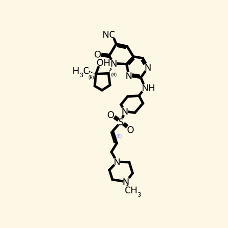 CN1CCN(C/C=C/S(=O)(=O)N2CCC(Nc3ncc4cc(C#N)c(=O)n([C@@H]5CCC[C@@]5(C)O)c4n3)CC2)CC1